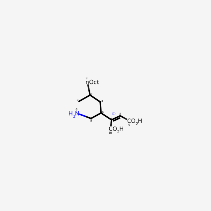 CCCCCCCCC(C)CC(CN)/C(=C/C(=O)O)C(=O)O